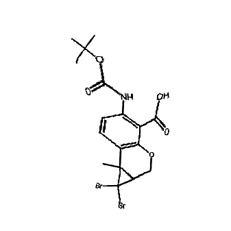 CC(C)(C)OC(=O)Nc1ccc2c(c1C(=O)O)OCC1C(Br)(Br)C21C